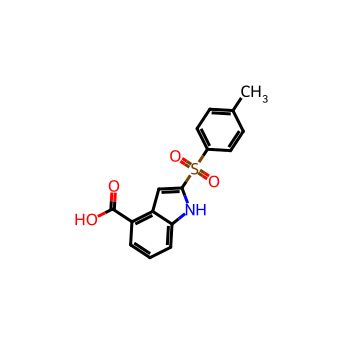 Cc1ccc(S(=O)(=O)c2cc3c(C(=O)O)cccc3[nH]2)cc1